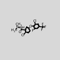 CN(C)NC(=O)c1cc(Oc2c(F)cc(C(F)(F)F)cc2Cl)ccc1Cl